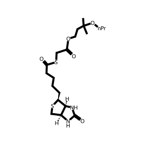 CCCOC(C)(C)CCOC(=O)CSC(=O)CCCC[C@@H]1SC[C@@H]2NC(=O)N[C@@H]21